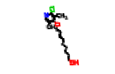 Cc1cnc(Cl)c(C)c1OCCCCCCCCCO